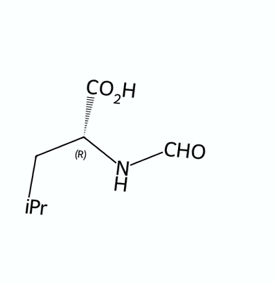 CC(C)C[C@@H](NC=O)C(=O)O